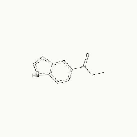 CCC(=O)c1ccc2[nH]ccc2c1